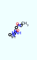 CC(C)c1ccccc1-c1ncc2[nH]c(=O)n(Cc3ccc(C(=O)N4CCC[C@H](C)C4)cc3)c2n1